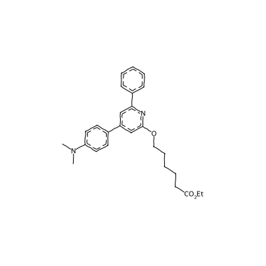 CCOC(=O)CCCCCOc1cc(-c2ccc(N(C)C)cc2)cc(-c2ccccc2)n1